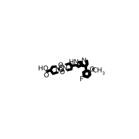 COc1ccc(F)cc1-c1ccnc2[nH]c(C3=CCN(S(=O)(=O)N4CCC(C(=O)O)CC4)CC3)cc12